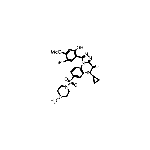 COc1cc(O)c(-c2nnc(C(=O)NC3CC3)n2-c2ccc(S(=O)(=O)N3CCN(C)CC3)cc2)cc1C(C)C